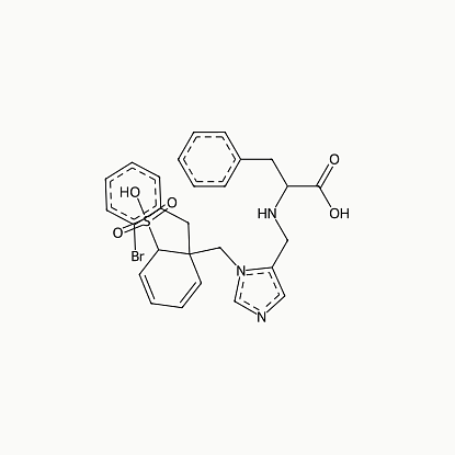 O=C(O)C(Cc1ccccc1)NCc1cncn1CC1(Cc2ccccc2Br)C=CC=CC1S(=O)(=O)O